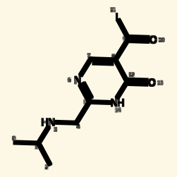 CC(C)NCc1ncc(C(=O)I)c(=O)[nH]1